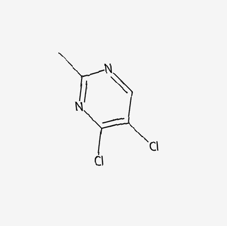 Cc1ncc(Cl)c(Cl)n1